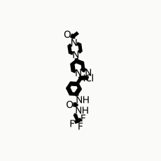 CC(=O)N1CCN(c2ccn3c(-c4cccc(NC(=O)NCC(F)(F)F)c4)cnc3c2)CC1.Cl